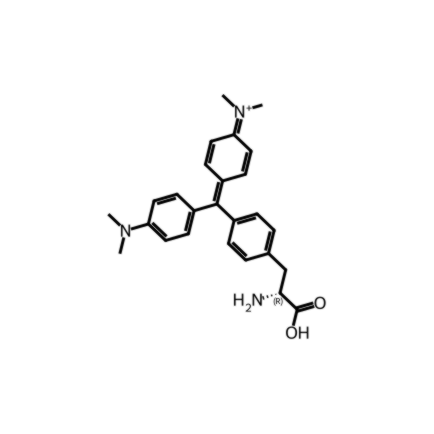 CN(C)c1ccc(C(=C2C=CC(=[N+](C)C)C=C2)c2ccc(C[C@@H](N)C(=O)O)cc2)cc1